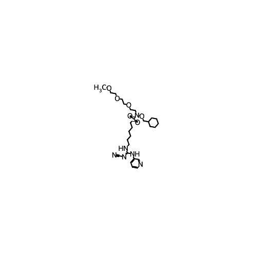 COCCOCCOCCN(OCC1CCCCC1)S(=O)(=O)CCCCCCN/C(=N\C#N)Nc1cccnc1